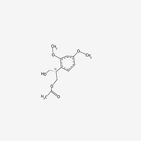 COc1ccc([C@@H](CO)COC(C)=O)c(OC)c1